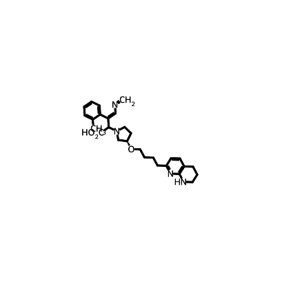 C=N/C=C(\c1ccccc1C)C(C(=O)O)N1CC[C@@H](OCCCCc2ccc3c(n2)NCCC3)C1